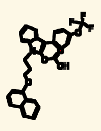 O=C(O)Oc1c(-c2ccc(OC(F)(F)F)cc2)c2ccccc2n1CCCOc1cccc2ccccc12